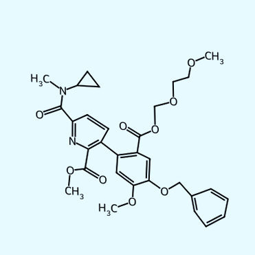 COCCOCOC(=O)c1cc(OCc2ccccc2)c(OC)cc1-c1ccc(C(=O)N(C)C2CC2)nc1C(=O)OC